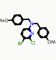 COc1ccc(CN(Cc2ccc(OC)cc2)c2[c]cc(Br)c(Cl)n2)cc1